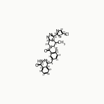 CC1CN(C(=O)c2cc(Cc3n[nH]c(=O)c4ccccc34)ccc2F)Cc2nnc(-c3ncc(Cl)s3)n21